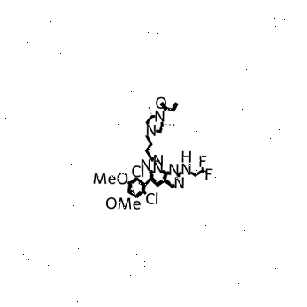 C=CC(=O)N1[C@H](C)CN(CCCc2nc3c(-c4c(Cl)c(OC)cc(OC)c4Cl)cc4cnc(NCC(F)F)nc4n3n2)C[C@@H]1C